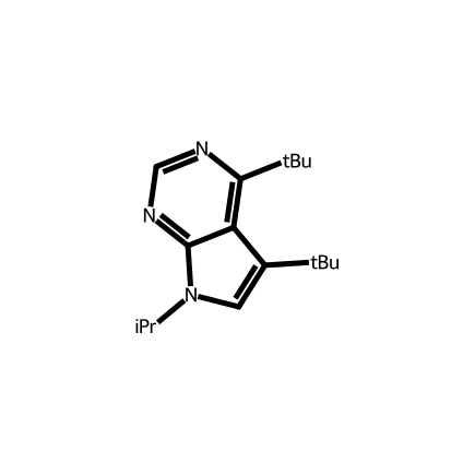 CC(C)n1cc(C(C)(C)C)c2c(C(C)(C)C)ncnc21